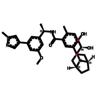 COc1cc(-c2cnn(C)c2)cc([C@@H](C)NC(=O)c2cc(N3C[C@H]4CC[C@@H](C3)N4C[C@@H](O)CO)ccc2C)c1